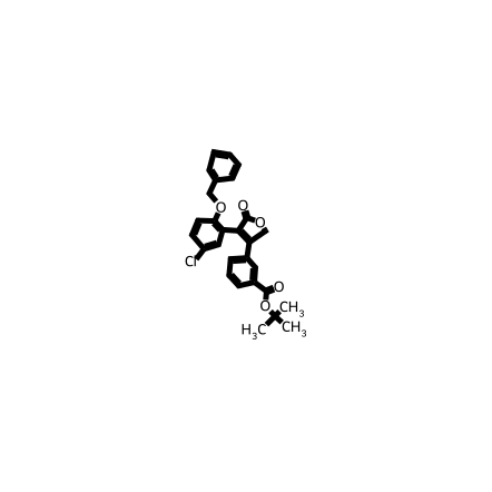 CC(C)(C)OC(=O)c1cccc(C2=C(c3cc(Cl)ccc3OCc3ccccc3)C(=O)OC2)c1